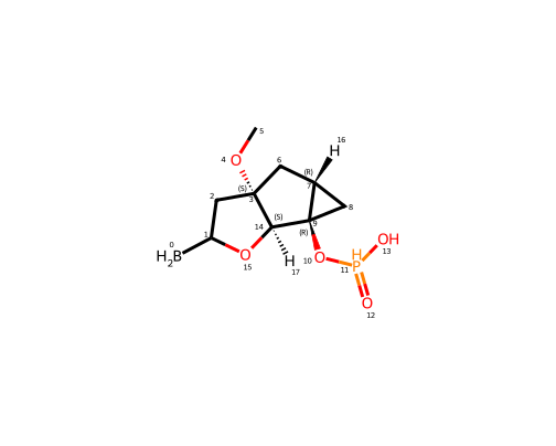 BC1C[C@@]2(OC)C[C@@H]3C[C@]3(O[PH](=O)O)[C@H]2O1